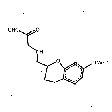 COc1ccc2c(c1)OC(CNCC(=O)C=O)CC2